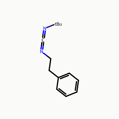 CC(C)(C)N=C=NCCc1ccccc1